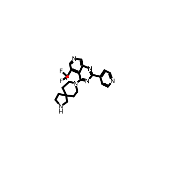 FC(F)(F)c1cncc2nc(-c3ccncc3)nc(N3CCC4(CCNC4)CC3)c12